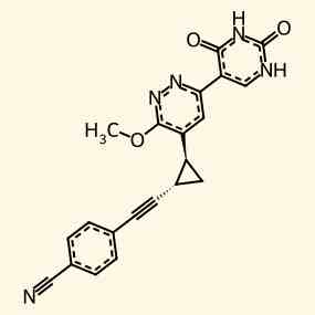 COc1nnc(-c2c[nH]c(=O)[nH]c2=O)cc1[C@H]1C[C@@H]1C#Cc1ccc(C#N)cc1